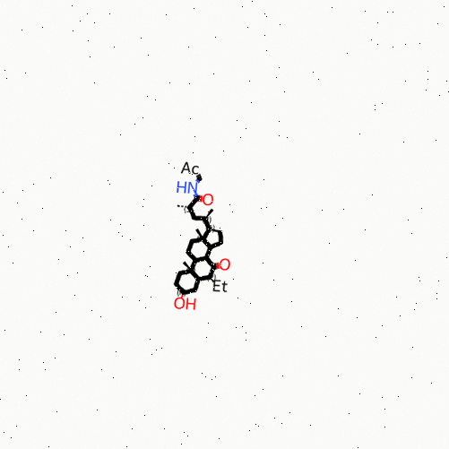 CC[C@H]1C(=O)C2C(CC[C@@]3(C)C2CC[C@@H]3[C@H](C)C[C@H](C)C(=O)NCC(C)=O)[C@@]2(C)CC[C@@H](O)CC12